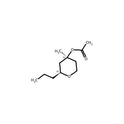 CCC[C@H]1C[C@@](C)(OC(C)=O)CCO1